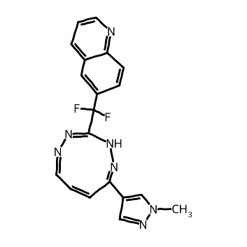 Cn1cc(-c2cccnnc(C(F)(F)c3ccc4ncccc4c3)[nH]n2)cn1